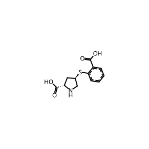 O=C(O)c1ccccc1S[C@H]1CN[C@H](C(=O)O)C1